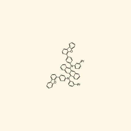 CC(C)c1cccc(N(c2ccc(-c3cccc4c3oc3ccccc34)cc2)c2c3ccccc3cc3c(N(c4ccc(-c5cccc6c5oc5ccccc56)cc4)c4cccc(C(C)C)c4)c4ccccc4cc23)c1